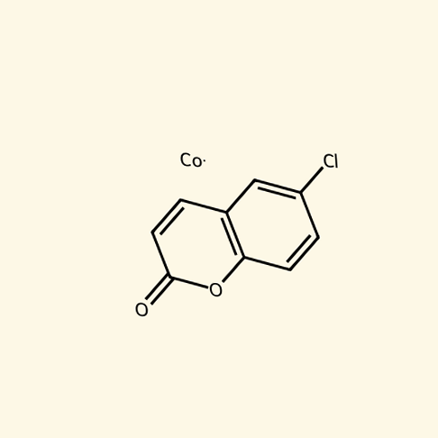 O=c1ccc2cc(Cl)ccc2o1.[Co]